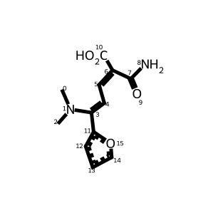 CN(C)C(=CC=C(C(N)=O)C(=O)O)c1ccco1